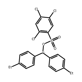 CCc1ccc([I+](OS(=O)(=O)c2cc(Cl)c(Cl)cc2Cl)c2ccc(CC)cc2)cc1